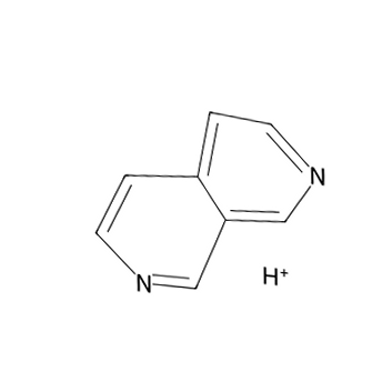 [H+].c1cc2ccncc2cn1